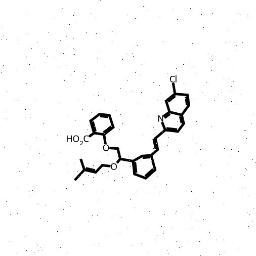 CC(C)=CCOC(COc1ccccc1C(=O)O)c1cccc(/C=C/c2ccc3ccc(Cl)cc3n2)c1